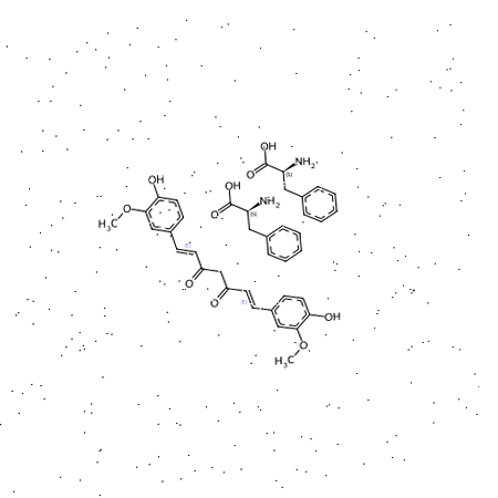 COc1cc(/C=C/C(=O)CC(=O)/C=C/c2ccc(O)c(OC)c2)ccc1O.N[C@@H](Cc1ccccc1)C(=O)O.N[C@@H](Cc1ccccc1)C(=O)O